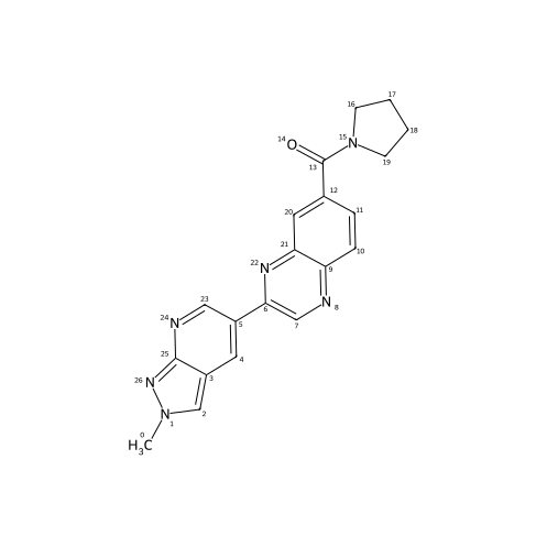 Cn1cc2cc(-c3cnc4ccc(C(=O)N5CCCC5)cc4n3)cnc2n1